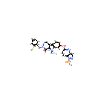 Cn1c2cc(Oc3ccc4c(cnn4PI)n3)ccc2c2cnn(Cc3ccccc3F)c(=O)c21